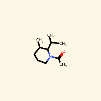 CC(=O)N1CCCC(C)C1C(C)C